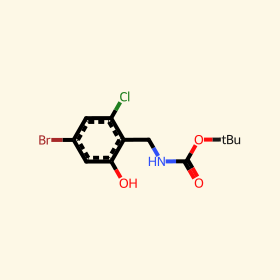 CC(C)(C)OC(=O)NCc1c(O)cc(Br)cc1Cl